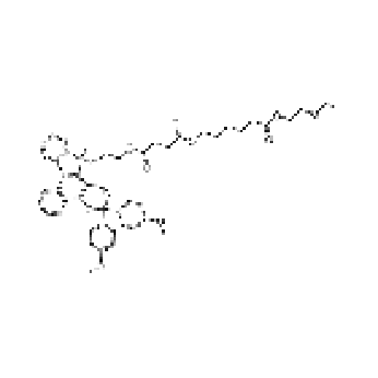 CCOCCOC(=O)CCCCCOC(=O)CCC(=O)OCCOC1(C)c2ccccc2-c2c1c1c(c3ccccc23)OC(c2ccc(OC)cc2)(c2ccc(OC)cc2)C=C1